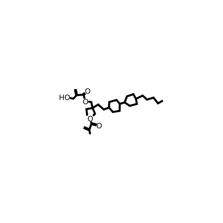 C=C(C)C(=O)OCC(CC)(CCC1CCC(C2CCC(CCCCC)CC2)CC1)COC(=O)C(=C)CO